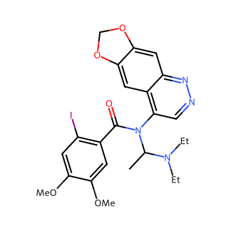 CCN(CC)C(C)N(C(=O)c1cc(OC)c(OC)cc1I)c1cnnc2cc3c(cc12)OCO3